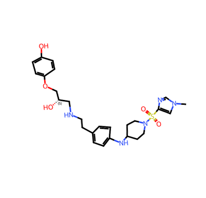 Cn1cnc(S(=O)(=O)N2CCC(Nc3ccc(CCNC[C@H](O)COc4ccc(O)cc4)cc3)CC2)c1